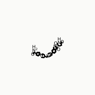 NC(=O)c1ccc(N2CCC(CN3CCN(c4ccc5c(=O)n(C6CCC(=O)NC6=O)ncc5c4)CC3)CC2)cc1